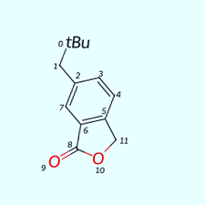 CC(C)(C)Cc1ccc2c(c1)C(=O)OC2